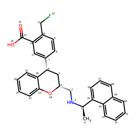 C[C@@H](NC[C@H]1C[C@@H](c2ccc(CF)c(C(=O)O)c2)c2ccccc2O1)c1cccc2ccccc12